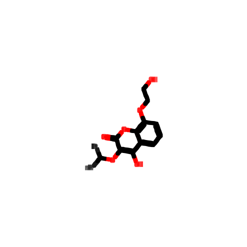 CCCC(CC)Oc1c(O)c2cccc(OCCO)c2oc1=O